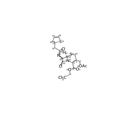 CC(=O)OCC1=C(C(=O)OCC(Cl)(Cl)Cl)N2C(=O)[C@@H](N=C(Cl)Cc3cccs3)[C@H]2SC1